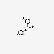 CC(=O)c1ccc2c(c1)[C@H](NC(=O)c1ccc(F)c(F)c1F)[C@H](O)C(C)(C)O2